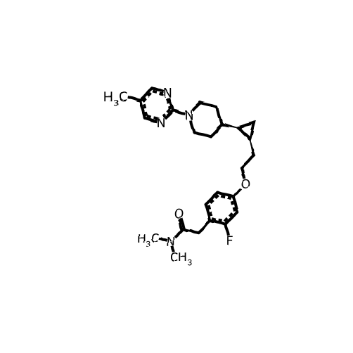 Cc1cnc(N2CCC([C@H]3C[C@H]3CCOc3ccc(CC(=O)N(C)C)c(F)c3)CC2)nc1